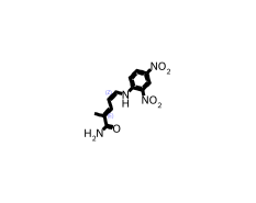 C/C(=C\C=C/Nc1ccc([N+](=O)[O-])cc1[N+](=O)[O-])C(N)=O